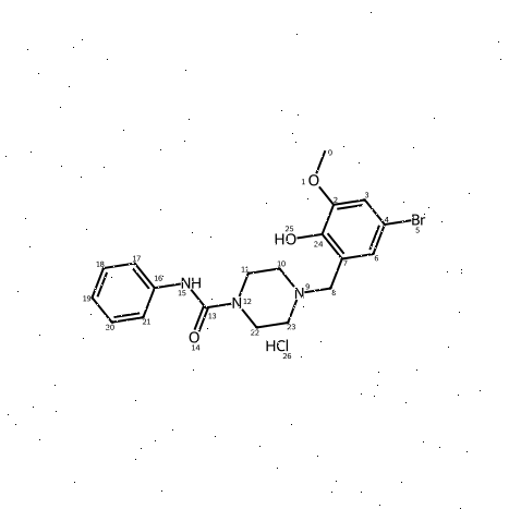 COc1cc(Br)cc(CN2CCN(C(=O)Nc3ccccc3)CC2)c1O.Cl